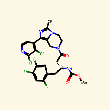 CC(C)(C)OC(=O)N[C@@H](CC(=O)N1CCn2c(C(F)(F)F)nc(-c3ccnc(Cl)c3Cl)c2C1)Cc1cc(F)c(F)cc1F